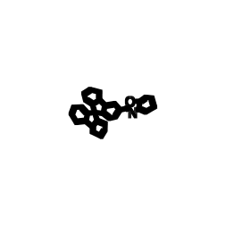 c1ccc2c(c1)-c1ccccc1C21c2ccccc2-c2cc(-c3nc4ccccc4o3)ccc21